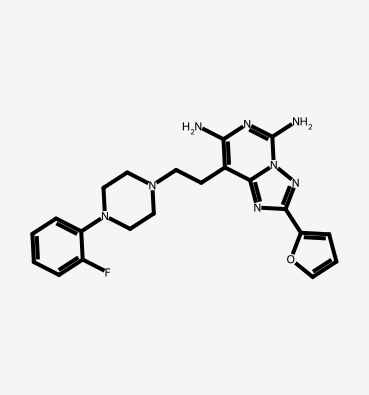 Nc1nc(N)n2nc(-c3ccco3)nc2c1CCN1CCN(c2ccccc2F)CC1